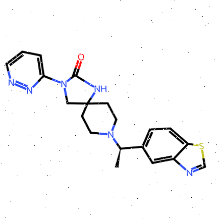 C[C@H](c1ccc2scnc2c1)N1CCC2(CC1)CN(c1cccnn1)C(=O)N2